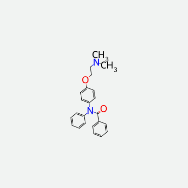 CN(C)CCOc1ccc(N(C(=O)c2ccccc2)c2ccccc2)cc1